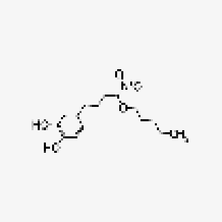 CCCCCOC(CCCc1ccc(O)c(O)c1)[N+](=O)[O-]